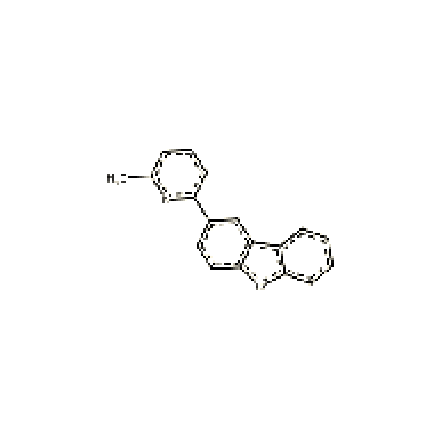 Cc1cccc(-c2ccc3oc4ccccc4c3c2)n1